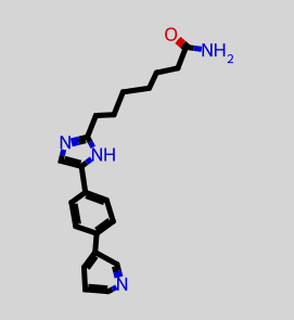 NC(=O)CCCCCCc1ncc(-c2ccc(-c3cccnc3)cc2)[nH]1